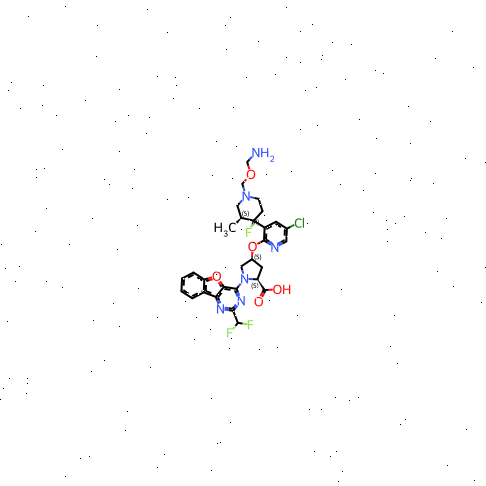 C[C@H]1CN(COCN)CC[C@]1(F)c1cc(Cl)cnc1O[C@H]1C[C@@H](C(=O)O)N(c2nc(C(F)F)nc3c2oc2ccccc23)C1